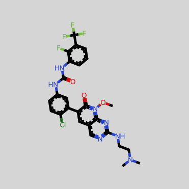 COn1c(=O)c(-c2cc(NC(=O)Nc3cccc(C(F)(F)F)c3F)ccc2Cl)cc2cnc(NCCN(C)C)nc21